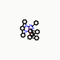 c1ccc(-c2nc(-c3ccccc3)nc(-n3c4ccccc4c4ccc5c6ccccc6n(-c6ccc7c(c6)C6(c8ccccc8-c8ccccc86)c6ccccc6-7)c5c43)n2)cc1